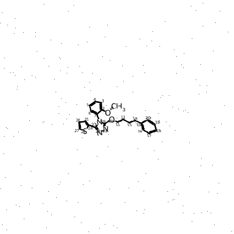 COc1ccccc1-n1c(OCCCCc2ccccc2)nnc1-c1cccs1